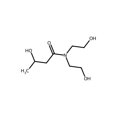 CC(O)CC(=O)N(CCO)CCO